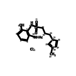 CC(=O)Nc1cccc(O)c1NS(=O)(=O)CCCn1cc[n+](C)c1.[Cl-]